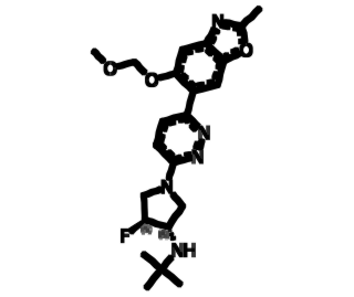 COCOc1cc2nc(C)oc2cc1-c1ccc(N2C[C@H](NC(C)(C)C)[C@@H](F)C2)nn1